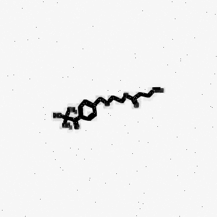 CSCCC(=O)OCCOCc1ccc(C(=O)C(C)(C)O)cc1